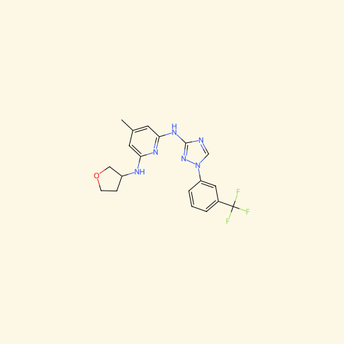 Cc1cc(Nc2ncn(-c3cccc(C(F)(F)F)c3)n2)nc(NC2CCOC2)c1